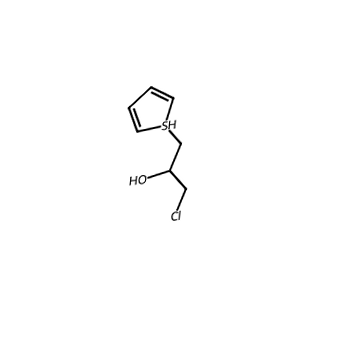 OC(CCl)C[SH]1C=CC=C1